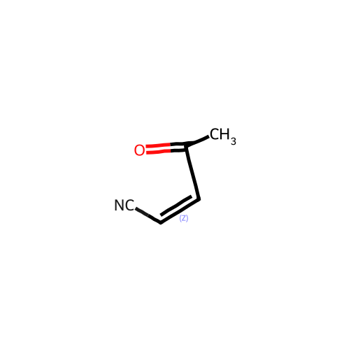 CC(=O)/C=C\C#N